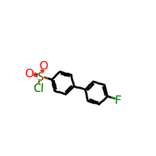 O=S(=O)(Cl)c1ccc(-c2ccc(F)cc2)cc1